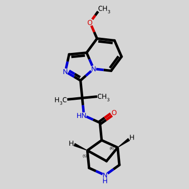 COc1cccn2c(C(C)(C)NC(=O)C3[C@@H]4CNC[C@H]3C4)ncc12